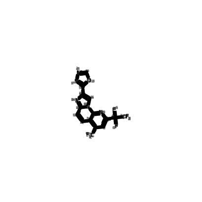 FC(F)(F)c1cc(C(F)(F)C(F)(F)F)nc2c1ccc1nc(-c3nnco3)cn12